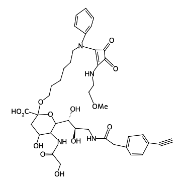 C#Cc1ccc(CC(=O)NC[C@@H](O)[C@@H](O)C2OC(OCCCCCCN(c3ccccc3)c3c(NCCOC)c(=O)c3=O)(C(=O)O)CC(O)C2NC(=O)CO)cc1